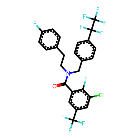 O=C(c1cc(C(F)(F)F)cc(Cl)c1F)N(CCc1ccc(F)cc1)Cc1ccc(C(F)(F)C(F)(F)F)cc1